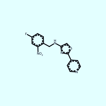 O=[N+]([O-])c1cc(F)ccc1CNc1csc(-c2ccncc2)n1